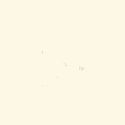 NC(=O)[C@@H](c1ccccc1)N(Cc1cc(C(F)(F)F)ccc1F)C(=O)c1ccccc1